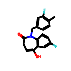 Cc1ccc(CN2C(=O)CC=C(O)c3cc(F)ccc32)cc1F